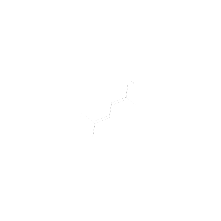 C/C(Cl)=C\C=C(/C)C#N